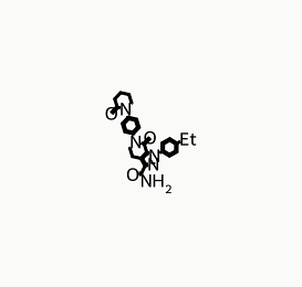 CCc1ccc(-n2nc(C(N)=O)c3c2C(=O)N(c2ccc(N4CCCCC4=O)cc2)CC3)cc1